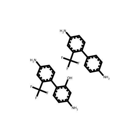 Nc1ccc(-c2ccc(N)cc2C(F)(F)F)c(O)c1.Nc1ccc(-c2ccc(N)cc2C(F)(F)F)cc1